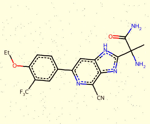 CCOc1ccc(-c2cc3[nH]c(C(C)(N)C(N)=O)nc3c(C#N)n2)cc1C(F)(F)F